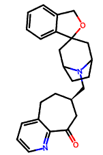 O=C1C[C@H](CN2C3CCC2CC2(C3)OCc3ccccc32)CCc2cccnc21